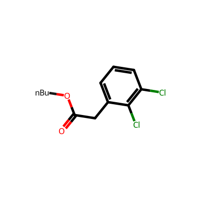 CCCCOC(=O)Cc1cccc(Cl)c1Cl